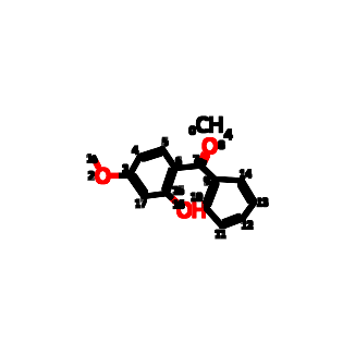 C.COc1ccc(C(=O)c2ccccc2)c(O)c1